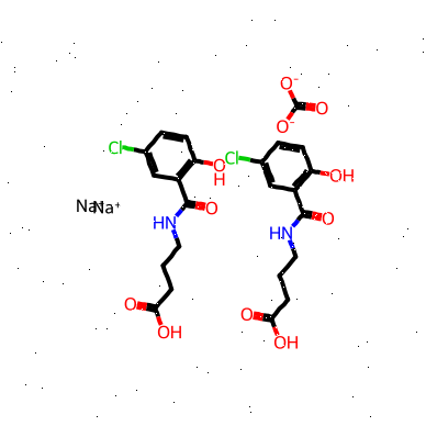 O=C(O)CCCNC(=O)c1cc(Cl)ccc1O.O=C(O)CCCNC(=O)c1cc(Cl)ccc1O.O=C([O-])[O-].[Na+].[Na+]